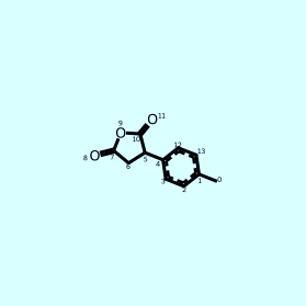 Cc1ccc(C2CC(=O)OC2=O)cc1